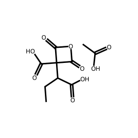 CC(=O)O.CCC(C(=O)O)C1(C(=O)O)C(=O)OC1=O